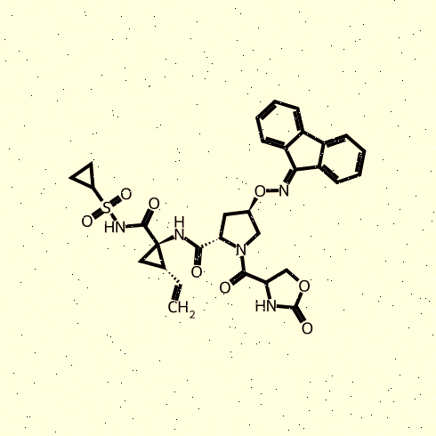 C=C[C@@H]1C[C@]1(NC(=O)[C@@H]1C[C@@H](ON=C2c3ccccc3-c3ccccc32)CN1C(=O)C1COC(=O)N1)C(=O)NS(=O)(=O)C1CC1